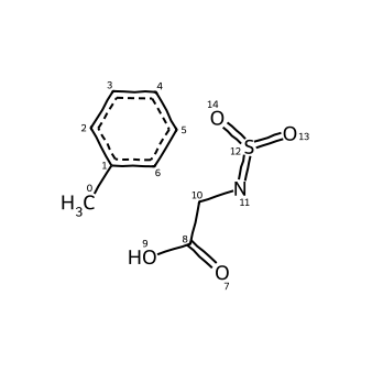 Cc1ccccc1.O=C(O)CN=S(=O)=O